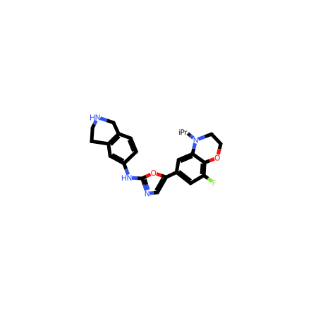 CC(C)N1CCOc2c(F)cc(-c3cnc(Nc4ccc5c(c4)CCNC5)o3)cc21